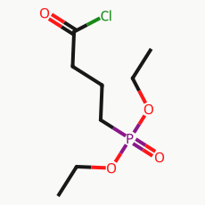 CCOP(=O)(CCCC(=O)Cl)OCC